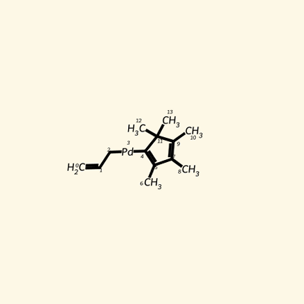 C=C[CH2][Pd][C]1=C(C)C(C)=C(C)C1(C)C